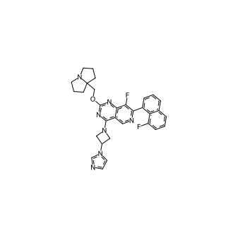 Fc1c(-c2cccc3cccc(F)c23)ncc2c(N3CC(n4ccnc4)C3)nc(OCC34CCCN3CCC4)nc12